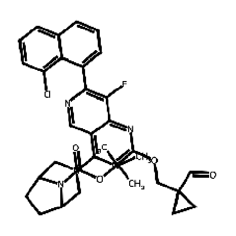 CC(C)(C)OC(=O)N1C2CCC1CN(c1nc(OCC3(C=O)CC3)nc3c(F)c(-c4cccc5cccc(Cl)c45)ncc13)C2